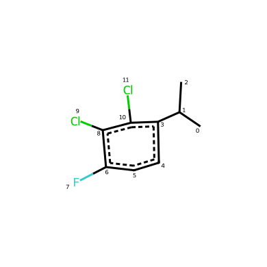 CC(C)c1ccc(F)c(Cl)c1Cl